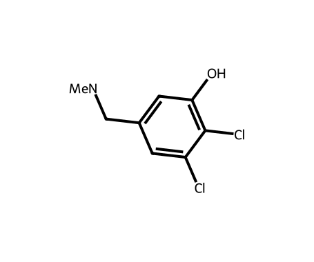 CNCc1cc(O)c(Cl)c(Cl)c1